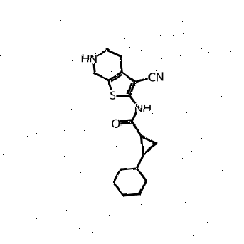 N#Cc1c(NC(=O)C2CC2C2CCCCC2)sc2c1CCNC2